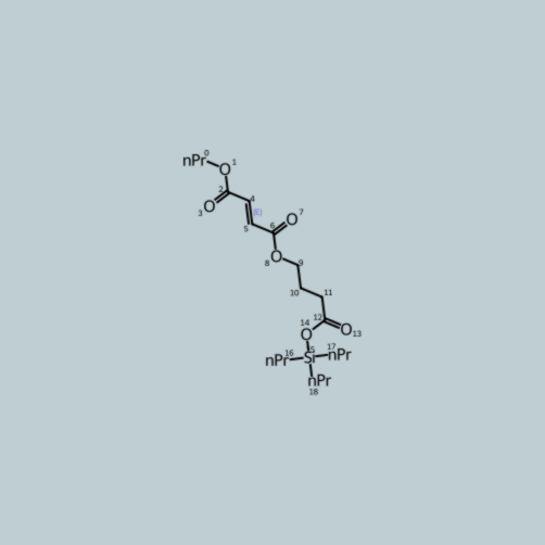 CCCOC(=O)/C=C/C(=O)OCCCC(=O)O[Si](CCC)(CCC)CCC